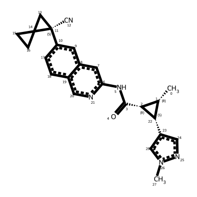 C[C@H]1[C@@H](C(=O)Nc2cc3cc([C@]4(C#N)CC45CC5)ccc3cn2)[C@H]1c1cnn(C)c1